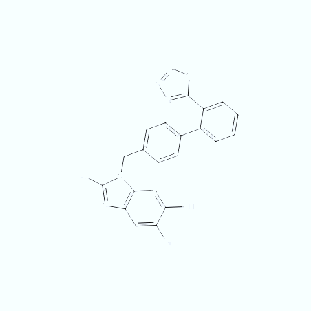 CCCCc1nc2cc(Br)c(C)nc2n1Cc1ccc(-c2ccccc2-c2nnn[nH]2)cc1